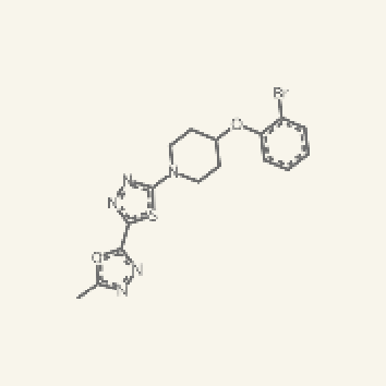 Cc1nnc(-c2nnc(N3CCC(Oc4ccccc4Br)CC3)s2)o1